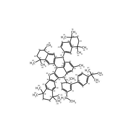 C[SiH2]C1=CC[C@@](C)(N2c3cc(C)cc4c3B(c3cc5c(cc3N4c3ccc4c(c3)C(C)(C)CCC4(C)C)C(C)CCC5(C)C)c3oc4cc5c(cc4c32)C(C)(C)CCC5(C)C)C(c2ccc(C(C)(C)C)cc2)=C1